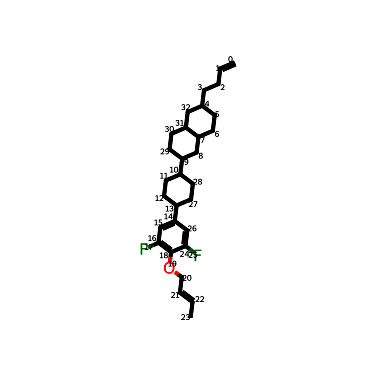 C=CCCC1CCC2CC(C3CCC(c4cc(F)c(OC/C=C/C)c(F)c4)CC3)CCC2C1